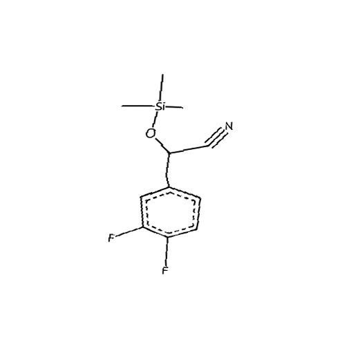 C[Si](C)(C)OC(C#N)c1ccc(F)c(F)c1